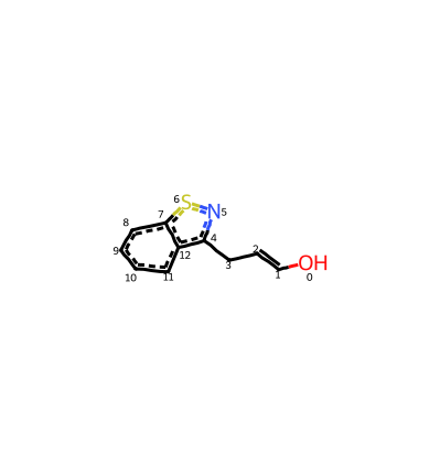 OC=CCc1nsc2ccccc12